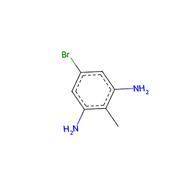 Cc1c(N)cc(Br)cc1N